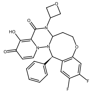 O=C1c2c(O)c(=O)ccn2N2C(CCOc3cc(F)c(F)cc3[C@H]2c2ccccc2)N1C1COC1